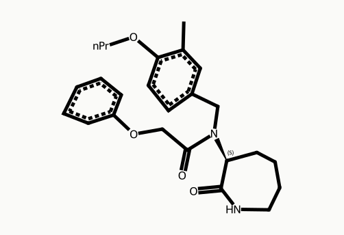 CCCOc1ccc(CN(C(=O)COc2ccccc2)[C@H]2CCCCNC2=O)cc1C